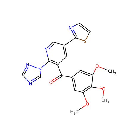 COc1cc(C(=O)c2cc(-c3nccs3)cnc2-n2cncn2)cc(OC)c1OC